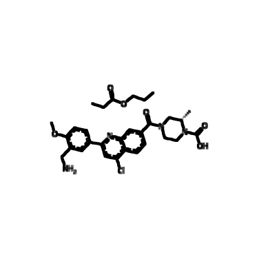 CCCOC(=O)CC.COc1ccc(-c2cc(Cl)c3ccc(C(=O)N4CCN(C(=O)O)[C@@H](C)C4)cc3n2)cc1CN